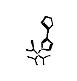 CC(C)[Si](C(C)C)(C(C)C)n1ccc(C2=CCCC2)c1